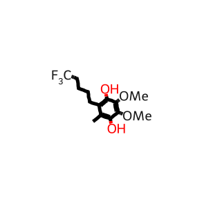 COc1c(O)c(C)c(CCCCC(F)(F)F)c(O)c1OC